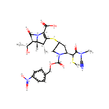 CSC(C(=O)N(C)C#N)[C@@H]1C[C@H](SC2=C(C(=O)O)N3C(=O)[C@H]([C@@H](C)O)[C@H]3[C@H]2C)CN1C(=O)OCc1ccc([N+](=O)[O-])cc1